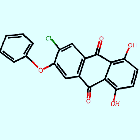 O=C1c2cc(Cl)c(Oc3ccccc3)cc2C(=O)c2c(O)ccc(O)c21